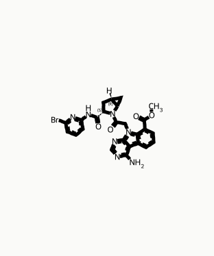 COC(=O)c1cccc2c3c(N)ncnc3n(CC(=O)N3C4C[C@@H]4C[C@H]3C(=O)Nc3cccc(Br)n3)c12